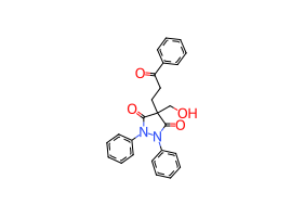 O=C(CCC1(CO)C(=O)N(c2ccccc2)N(c2ccccc2)C1=O)c1ccccc1